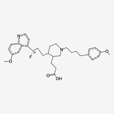 COc1ccc(CCCCN2CCC(CC[C@H](F)c3ccnc4ccc(OC)cc34)C(CCC(=O)O)C2)cc1